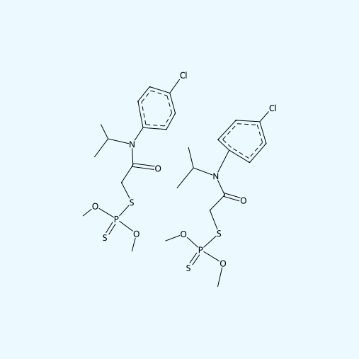 COP(=S)(OC)SCC(=O)N(c1ccc(Cl)cc1)C(C)C.COP(=S)(OC)SCC(=O)N(c1ccc(Cl)cc1)C(C)C